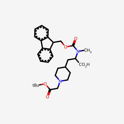 CN(C(=O)OCC1c2ccccc2-c2ccccc21)C(CC1CCN(CC(=O)OC(C)(C)C)CC1)C(=O)O